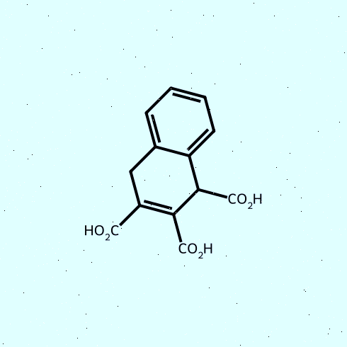 O=C(O)C1=C(C(=O)O)C(C(=O)O)c2ccccc2C1